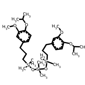 COc1cc(CCC[Si](C)(C)O[Si](C)(C)O[Si](C)(C)CCCc2ccc(OC(C)C)c(OC)c2)ccc1OC(C)C